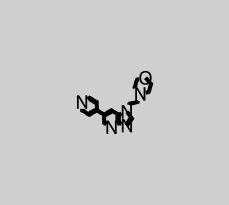 c1cc(-c2cnc3ncn(CCN4CCOCC4)c3c2)ccn1